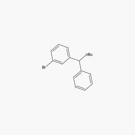 CCCCC(c1ccccc1)c1cccc(Br)c1